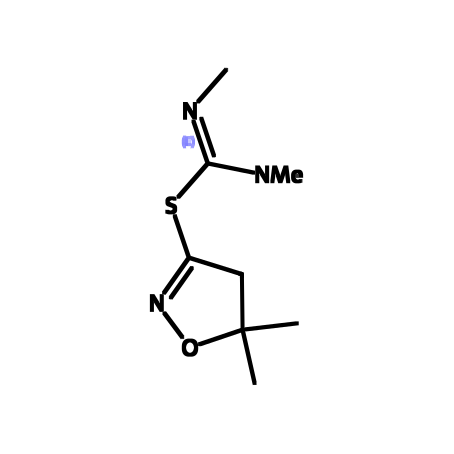 C/N=C(\NC)SC1=NOC(C)(C)C1